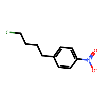 O=[N+]([O-])c1ccc(CCCCCl)cc1